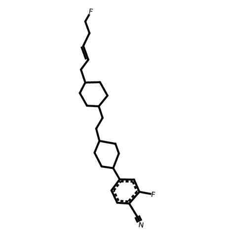 N#Cc1ccc(C2CCC(CCC3CCC(CC=CCCF)CC3)CC2)cc1F